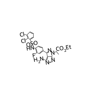 CCOC(=O)C(C)n1nc(-c2ccc(NS(=O)(=O)c3cccc(Cl)c3Cl)c(F)c2)c2c(N)ncnc21